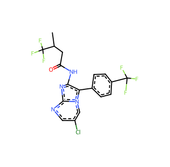 CC(CC(=O)Nc1nc2ncc(Cl)cn2c1-c1ccc(C(F)(F)F)cc1)C(F)(F)F